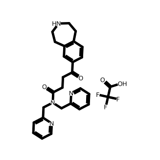 O=C(CCC(=O)N(Cc1ccccn1)Cc1ccccn1)c1ccc2c(c1)CCNCC2.O=C(O)C(F)(F)F